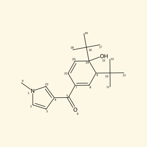 Cn1ccc(C(=O)C2=CC(C(C)(C)C)C(O)(C(C)(C)C)C=C2)c1